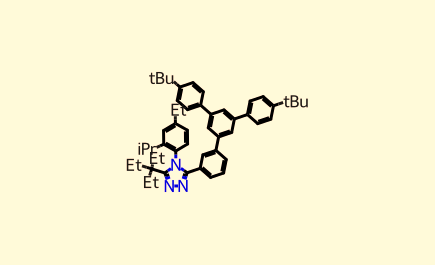 CCc1ccc(-n2c(-c3cccc(-c4cc(-c5ccc(C(C)(C)C)cc5)cc(-c5ccc(C(C)(C)C)cc5)c4)c3)nnc2C(CC)(CC)CC)c(C(C)C)c1